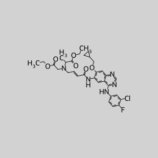 CCOC(=O)CN(CC=CC(=O)Nc1cc2c(Nc3ccc(F)c(Cl)c3)ncnc2cc1OCC1CC1)C(C)C(=O)OCC